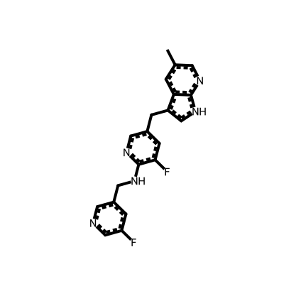 Cc1cnc2[nH]cc(Cc3cnc(NCc4cncc(F)c4)c(F)c3)c2c1